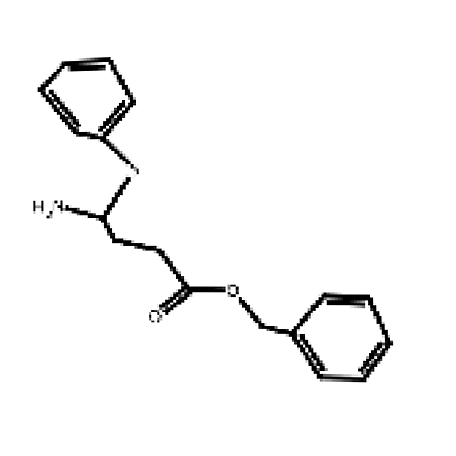 NC(CCC(=O)OCc1ccccc1)Sc1ccccc1